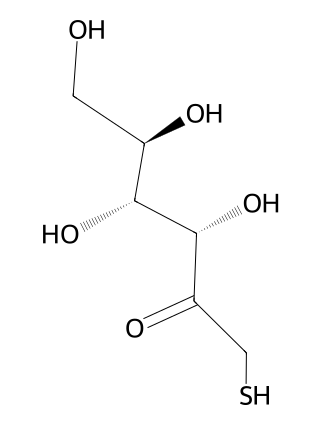 O=C(CS)[C@@H](O)[C@H](O)[C@H](O)CO